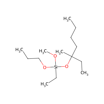 CCCCC(C)(CC)O[Si](CC)(OC)OCCC